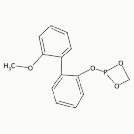 COc1ccccc1-c1ccccc1OP1OCO1